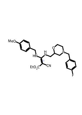 CCOC(=O)/C(C#N)=C(\NCc1ccc(OC)cc1)NCC1CN(Cc2ccc(F)cc2)CCO1